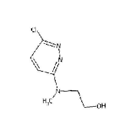 CN(CCO)c1ccc(Cl)nn1